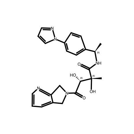 C[C@@H](NC(=O)[C@](C)(O)[C@@H](O)C(=O)N1Cc2cccnc2C1)c1ccc(-n2cccn2)cc1